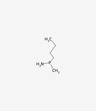 CCCCP(C)N